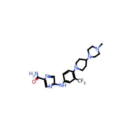 CN1CCN(C2CCN(c3ccc(Nc4cnc(C(N)=O)cn4)cc3C(F)(F)F)CC2)CC1